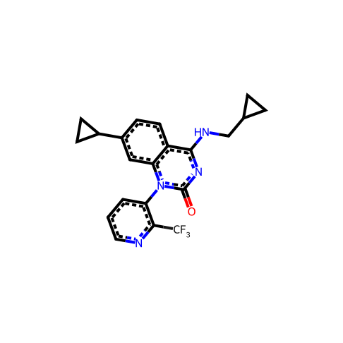 O=c1nc(NCC2CC2)c2ccc(C3CC3)cc2n1-c1cccnc1C(F)(F)F